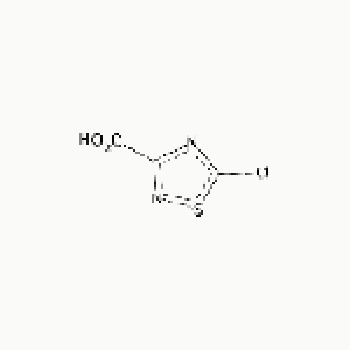 O=C(O)c1nsc(Cl)n1